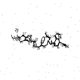 CC1CN(c2ccc(C#N)c3ncccc23)CC(CN2CC(n3cc4c(n3)C[C@@H](C)NC4)C2)O1